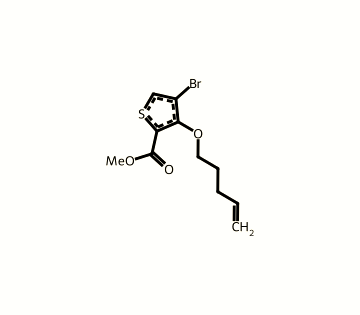 C=CCCCOc1c(Br)csc1C(=O)OC